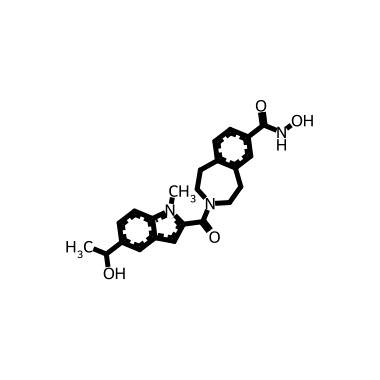 CC(O)c1ccc2c(c1)cc(C(=O)N1CCc3ccc(C(=O)NO)cc3CC1)n2C